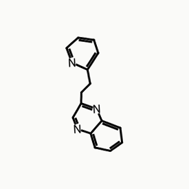 c1ccc(CCc2cnc3ccccc3n2)nc1